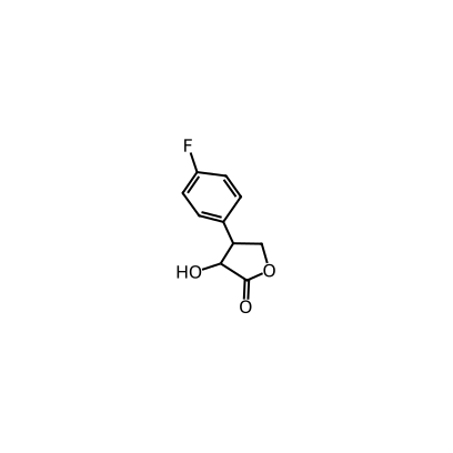 O=C1OCC(c2ccc(F)cc2)C1O